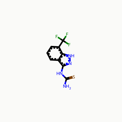 NC(=S)Nc1n[nH]c2c(C(F)(F)F)cccc12